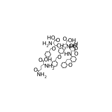 C[C@@H](OCc1ccccc1)[C@H](N)C(=O)O.NC(=O)CC[C@H](N)C(=O)O.N[C@@H](Cc1ccc(OCc2ccccc2)cc1)C(=O)O.O=C(O)[C@H](CO)Nc1cccc2c1Cc1ccccc1O2